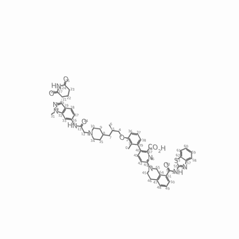 Cc1c(OC[C@H](C)CC2CCN(CC(=O)Nc3ccc4c([C@H]5CCC(=O)NC5=O)nn(C)c4c3)CC2)cccc1-c1ccc(N2CCc3cccc(C(=O)Nc4nc5ccccc5s4)c3C2)nc1C(=O)O